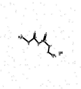 CCO[PH](=O)OC(=O)OC.[LiH]